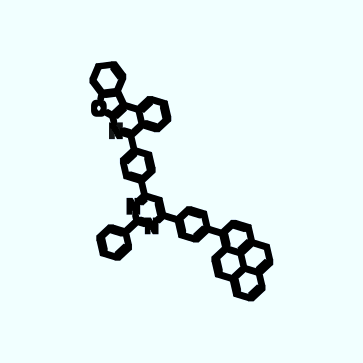 C1=CC2=CCc3ccc(-c4ccc(-c5cc(-c6ccc(-c7nc8oc9c(c8c8ccccc78)C=CCC9)cc6)nc(-c6ccccc6)n5)cc4)c4c3C2C(=C1)C=C4